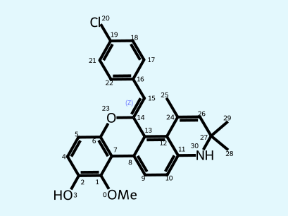 COc1c(O)ccc2c1-c1ccc3c(c1/C(=C/c1ccc(Cl)cc1)O2)C(C)=CC(C)(C)N3